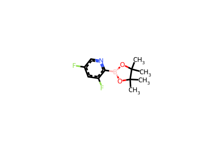 CC1(C)OB(c2ncc(F)cc2F)OC1(C)C